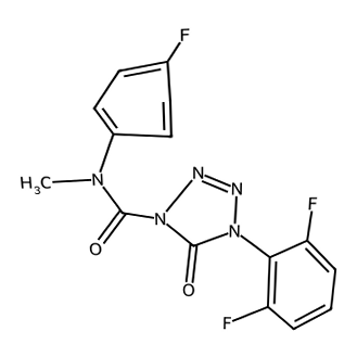 CN(C(=O)n1nnn(-c2c(F)cccc2F)c1=O)c1ccc(F)cc1